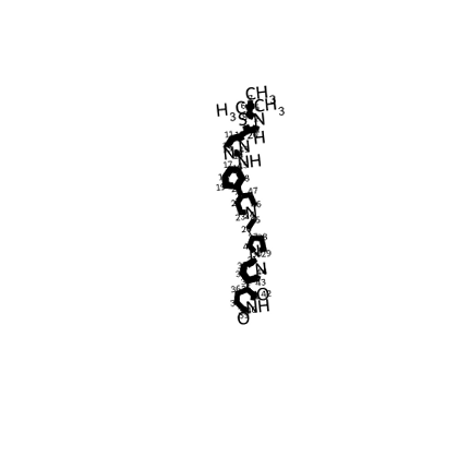 [2H]c1nc(C(C)(C)C)sc1-c1ccnc(Nc2cccc(C3CCN(CC[C@@H]4CCN(c5ccc([C@@H]6CCC(=O)NC6=O)cn5)C4)CC3)c2)n1